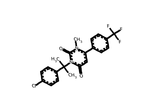 Cn1c(-c2ccc(C(F)(F)F)cc2)cc(=O)n(C(C)(C)c2ccc(Cl)cc2)c1=O